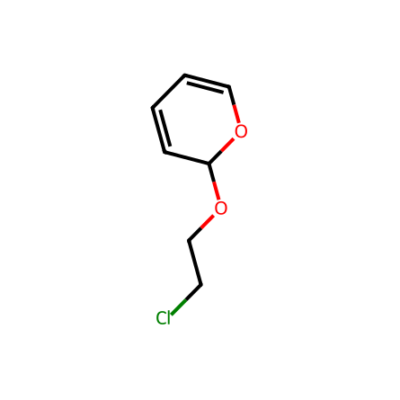 ClCCOC1C=CC=CO1